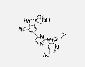 C[C@]1(CO)CNc2c(C#N)cc(-c3ccnc(Nc4cc(C#N)cnc4OCC4CC4)n3)cc21